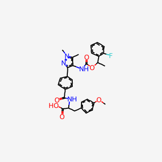 COc1ccc(CC(NC(=O)c2ccc(-c3nn(C)c(C)c3NC(=O)OC(C)c3ccccc3F)cc2)C(=O)O)cc1